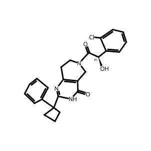 O=C([C@H](O)c1ccccc1Cl)N1CCc2nc(C3(c4ccccc4)CCC3)[nH]c(=O)c2C1